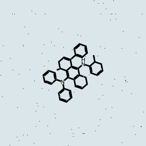 CC1CC=CC=C1Nc1c2c(c(N(c3ccccc3)c3ccccc3)c3c1C(c1ccccc1)=CCC3C)C=CCC2